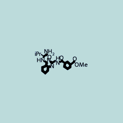 COC(=O)c1cccc(C(=O)NCc2nc(N[C@H](C(N)=O)C(C)C)c3ccccc3n2)c1